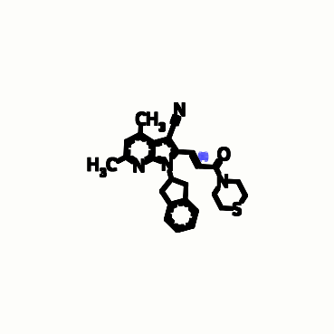 Cc1cc(C)c2c(C#N)c(/C=C/C(=O)N3CCSCC3)n(C3Cc4ccccc4C3)c2n1